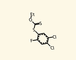 CCOC(=S)Sc1cc(Cl)c(Cl)cc1F